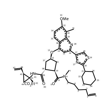 C=CCCCCN(C)C(=O)[C@@H]1C[C@H](Oc2cc(-c3csc(C4CCCCC4)n3)nc3c(C)c(OC)ccc23)C[C@H]1C(=O)N[C@]1(C(=O)OCC)C[C@H]1C=C